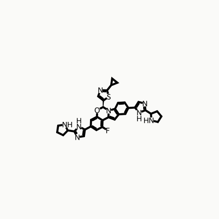 Fc1cc(-c2cnc(C3CCCN3)[nH]2)cc2c1-c1cc3cc(-c4cnc(C5CCCN5)[nH]4)ccc3n1[C@H](c1cnc(C3CC3)s1)O2